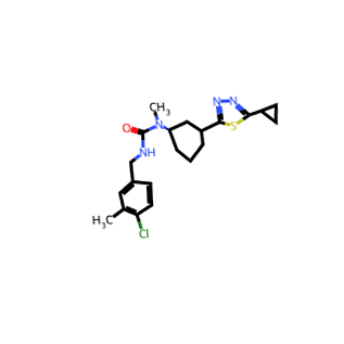 Cc1cc(CNC(=O)N(C)[C@@H]2CCCC(c3nnc(C4CC4)s3)C2)ccc1Cl